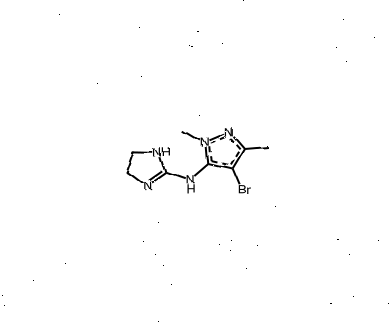 Cc1nn(C)c(NC2=NCCN2)c1Br